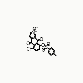 Cc1ccc(S(=O)(=O)Oc2ccc(Cl)c3c2C(=O)c2c[n+]([O-])ccc2C3=O)cc1